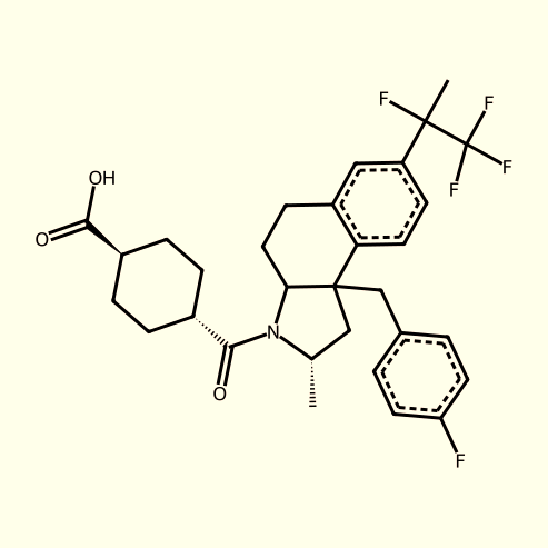 C[C@H]1CC2(Cc3ccc(F)cc3)c3ccc(C(C)(F)C(F)(F)F)cc3CCC2N1C(=O)[C@H]1CC[C@H](C(=O)O)CC1